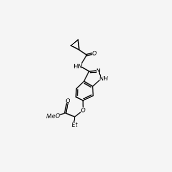 CCC(Oc1ccc2c(NC(=O)C3CC3)n[nH]c2c1)C(=O)OC